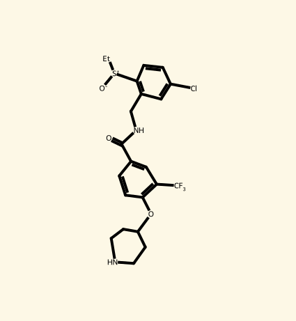 CC[S+]([O-])c1ccc(Cl)cc1CNC(=O)c1ccc(OC2CCNCC2)c(C(F)(F)F)c1